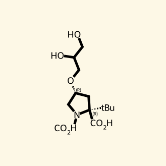 CC(C)(C)[C@@]1(C(=O)O)C[C@@H](OCC(O)CO)CN1C(=O)O